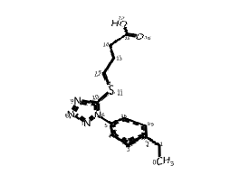 CCc1ccc(-n2nnnc2SCCCC(=O)O)cc1